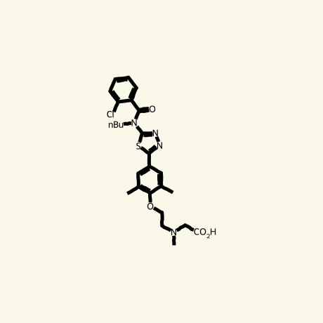 CCCCN(C(=O)c1ccccc1Cl)c1nnc(-c2cc(C)c(OCCN(C)CC(=O)O)c(C)c2)s1